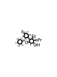 CCCc1c(O)cc(OCc2ccccc2)c(-c2ccc(F)cc2)c1CC